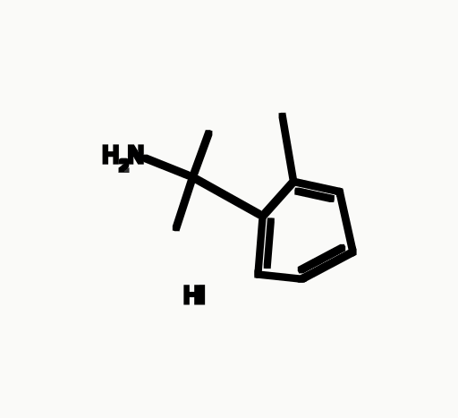 Cc1ccccc1C(C)(C)N.I